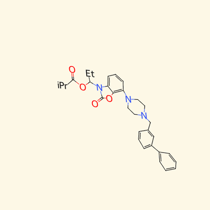 CCC(OC(=O)C(C)C)n1c(=O)oc2c(N3CCN(Cc4cccc(-c5ccccc5)c4)CC3)cccc21